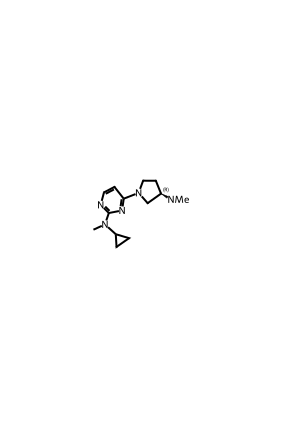 CN[C@@H]1CCN(c2ccnc(N(C)C3CC3)n2)C1